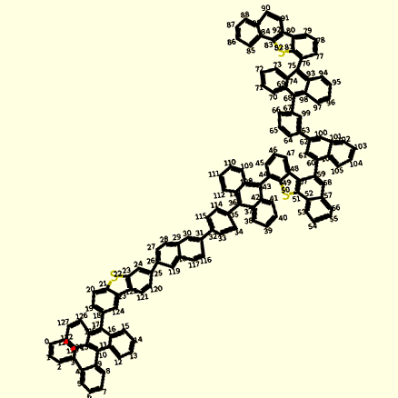 c1ccc(-c2ccccc2-c2c3ccccc3c(-c3ccc4sc5cc(-c6ccc7cc(-c8ccc(-c9c%10ccccc%10c(-c%10cccc%11c%10sc%10c%12ccccc%12cc(-c%12cc(-c%13cccc(-c%14c%15ccccc%15c(-c%15cccc%16c%15sc%15c%17ccccc%17ccc%16%15)c%15ccccc%14%15)c%13)cc%13ccccc%12%13)c%11%10)c%10ccccc9%10)cc8)ccc7c6)ccc5c4c3)c3ccccc23)cc1